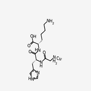 NCCCC[C@H](NC(=O)[C@@H](Cc1c[nH]cn1)NC(=O)CN)C(=O)O.[Cu]